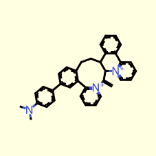 C=C1C2C(CCc3ccc(-c4ccc(N(C)C)cc4)cc3-c3cccc[n+]31)c1ccccc1-c1cccc[n+]12